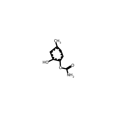 Cc1ccc(OC(N)=O)c(O)c1